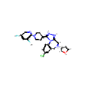 Fc1cnc(N2CCC(c3nnc4n3-c3ccc(Cl)cc3CN([C@@H]3CCOC3)C4)CC2)c(F)c1